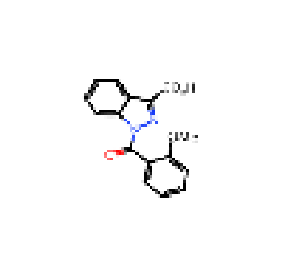 COc1ccccc1C(=O)n1nc(C(=O)O)c2ccccc21